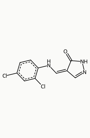 O=C1NN=C/C1=C/Nc1ccc(Cl)cc1Cl